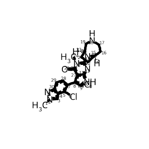 Cl.Cn1cc2c(Cl)c(-c3c[nH]c4nc(N5[C@H]6CCNC[C@@H]5CC6)n(C)c(=O)c34)ccc2n1